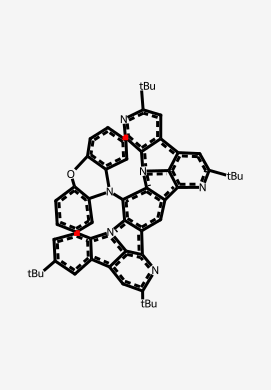 CC(C)(C)c1ccc2c(c1)c1cc(C(C)(C)C)nc3c4cc5c6nc(C(C)(C)C)cc7c8cc(C(C)(C)C)ncc8n(c5c(N5c8ccccc8Oc8ccccc85)c4n2c13)c76